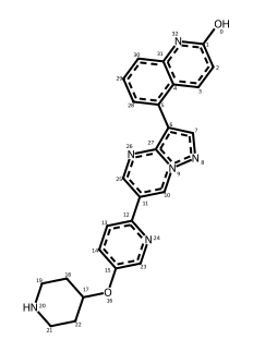 Oc1ccc2c(-c3cnn4cc(-c5ccc(OC6CCNCC6)cn5)cnc34)cccc2n1